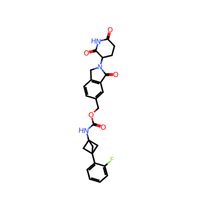 O=C1CCC(N2Cc3ccc(COC(=O)NC45CC(c6ccccc6F)(C4)C5)cc3C2=O)C(=O)N1